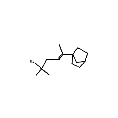 CCC(C)(C)CC=C(C)C12CCC(CC1)C2